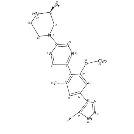 CC(C)[C@H]1CN(c2ncc(-c3c(F)cc(-c4cn[nH]c4F)cc3OC=O)nn2)CCN1